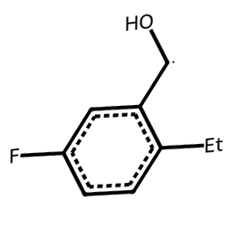 CCc1ccc(F)cc1[CH]O